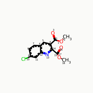 COC(=O)c1cc2ccc(Cl)cc2nc1C(=O)OC